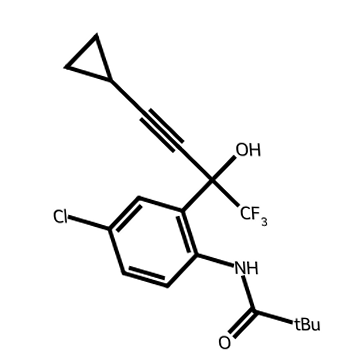 CC(C)(C)C(=O)Nc1ccc(Cl)cc1C(O)(C#CC1CC1)C(F)(F)F